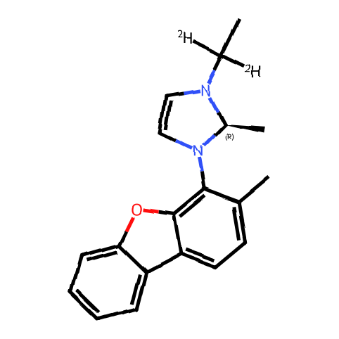 [2H]C([2H])(C)N1C=CN(c2c(C)ccc3c2oc2ccccc23)[C@@H]1C